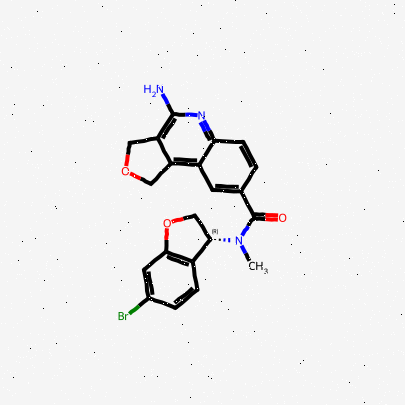 CN(C(=O)c1ccc2nc(N)c3c(c2c1)COC3)[C@H]1COc2cc(Br)ccc21